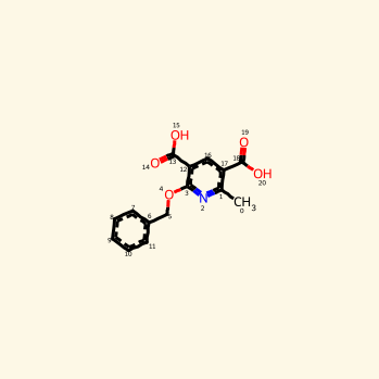 Cc1nc(OCc2ccccc2)c(C(=O)O)cc1C(=O)O